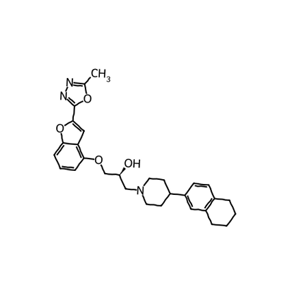 Cc1nnc(-c2cc3c(OC[C@@H](O)CN4CCC(c5ccc6c(c5)CCCC6)CC4)cccc3o2)o1